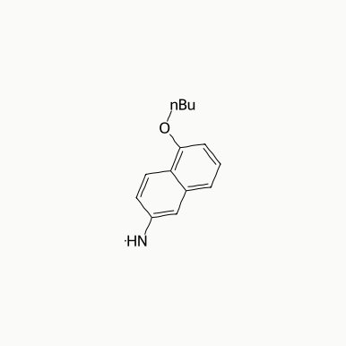 CCCCOc1cccc2cc([NH])ccc12